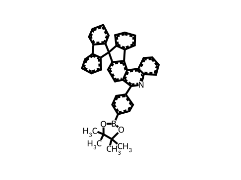 CC1(C)OB(c2ccc(-c3nc4ccccc4c4c5c(ccc34)C3(c4ccccc4-c4ccccc43)c3ccccc3-5)cc2)OC1(C)C